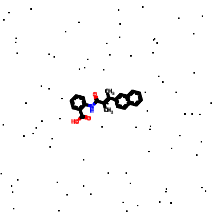 C/C(C(=O)Nc1ccccc1C(=O)O)=C(/C)c1ccc2ccccc2c1